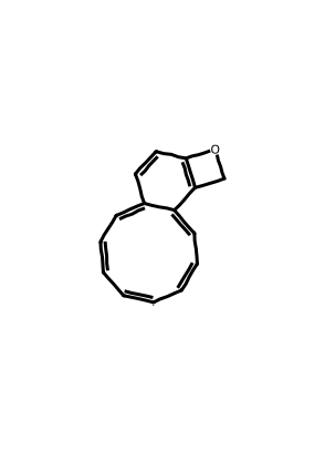 [c]1ccccc2ccc3c(c2ccc1)CO3